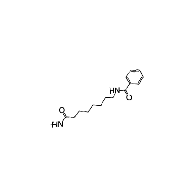 [NH]C(=O)CCCCCCCNC(=O)c1ccccc1